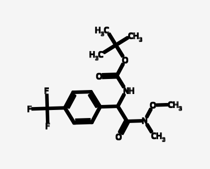 CON(C)C(=O)C(NC(=O)OC(C)(C)C)c1ccc(C(F)(F)F)cc1